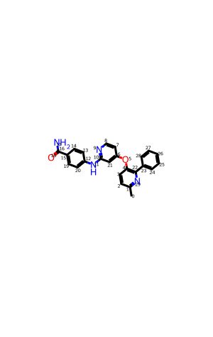 Cc1ccc(Oc2ccnc(Nc3ccc(C(N)=O)cc3)c2)c(-c2ccccc2)n1